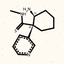 CNC(=S)[C@@]1(c2cccnc2)CCCC[C@@H]1N